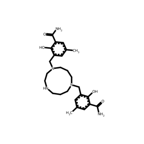 Cc1cc(CN2CCCNCCN(Cc3cc(C)cc(C(N)=O)c3O)CCC2)c(O)c(C(N)=O)c1